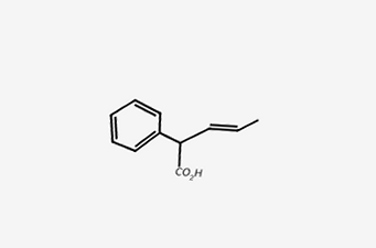 CC=CC(C(=O)O)c1ccccc1